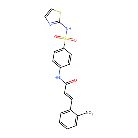 O=C(/C=C/c1ccccc1[N+](=O)[O-])Nc1ccc(S(=O)(=O)Nc2nccs2)cc1